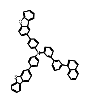 c1cc(-c2cccc(N(c3ccc(-c4ccc5c(c4)sc4ccccc45)cc3)c3ccc(-c4ccc5oc6ccccc6c5c4)cc3)c2)cc(-c2cccc3ccccc23)c1